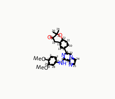 COc1ccc(Nc2nc(-c3ccc4c(c3)CC(=O)C(C)(C)O4)cn3ccnc23)cc1OC